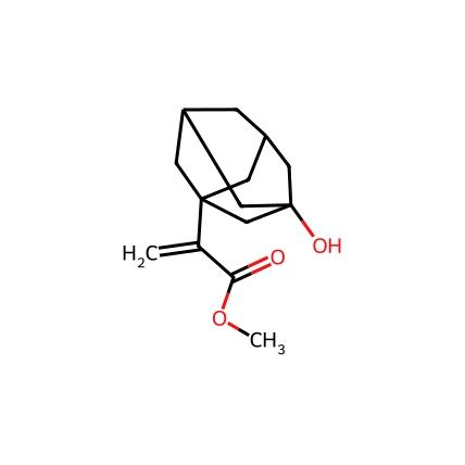 C=C(C(=O)OC)C12CC3CC(CC(O)(C3)C1)C2